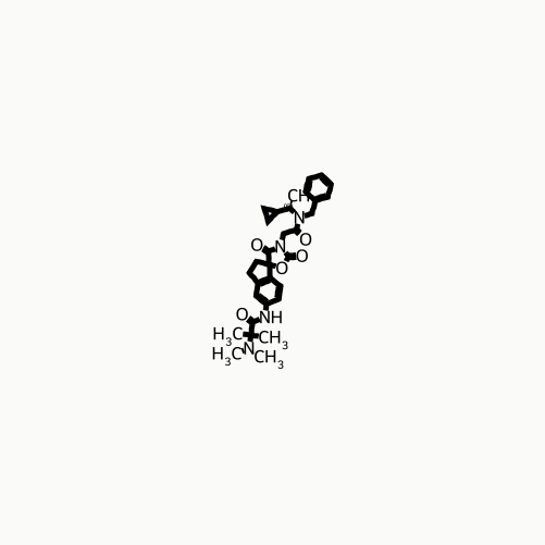 C[C@@H](C1CC1)N(Cc1ccccc1)C(=O)CN1C(=O)OC2(CCc3cc(NC(=O)C(C)(C)N(C)C)ccc32)C1=O